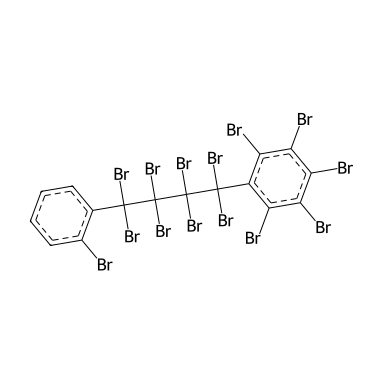 Brc1ccccc1C(Br)(Br)C(Br)(Br)C(Br)(Br)C(Br)(Br)c1c(Br)c(Br)c(Br)c(Br)c1Br